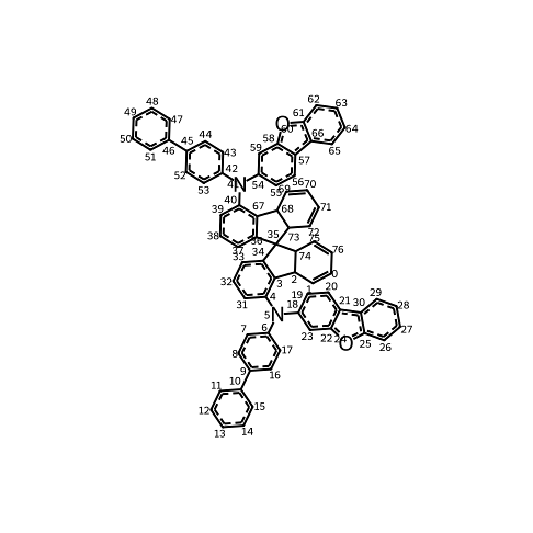 C1=CC2c3c(N(c4ccc(-c5ccccc5)cc4)c4ccc5c(c4)oc4ccccc45)cccc3C3(c4cccc(N(c5ccc(-c6ccccc6)cc5)c5ccc6c(c5)oc5ccccc56)c4C4C=CC=CC43)C2C=C1